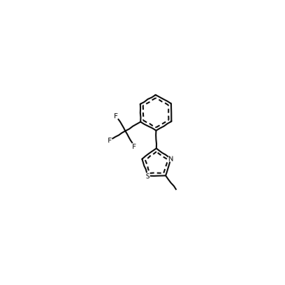 Cc1nc(-c2ccccc2C(F)(F)F)cs1